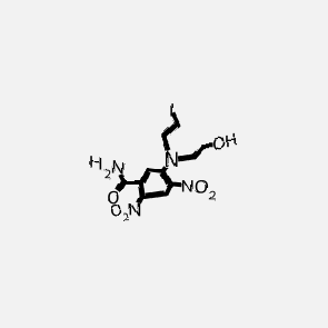 NC(=O)c1cc(N(CCO)CCI)c([N+](=O)[O-])cc1[N+](=O)[O-]